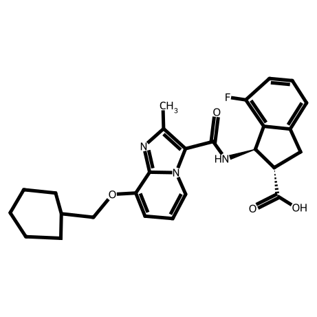 Cc1nc2c(OCC3CCCCC3)cccn2c1C(=O)N[C@H]1c2c(F)cccc2C[C@@H]1C(=O)O